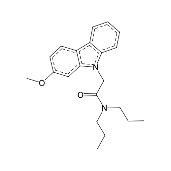 CCCN(CCC)C(=O)Cn1c2ccccc2c2ccc(OC)cc21